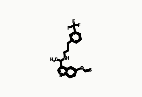 CC(NCCCc1cccc(C(F)(F)F)c1)c1csc2ccc(OC=S)cc12